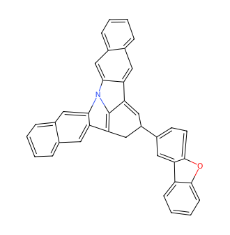 C1=c2c3cc4ccccc4cc3n3c2c(c2cc4ccccc4cc23)CC1c1ccc2oc3ccccc3c2c1